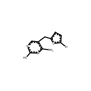 CCc1ccc(Cc2cnc(S)nc2N)o1